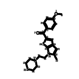 COc1ccc(C(=O)c2cc3cc(C)n(CCN4CCSCC4)c3s2)cc1